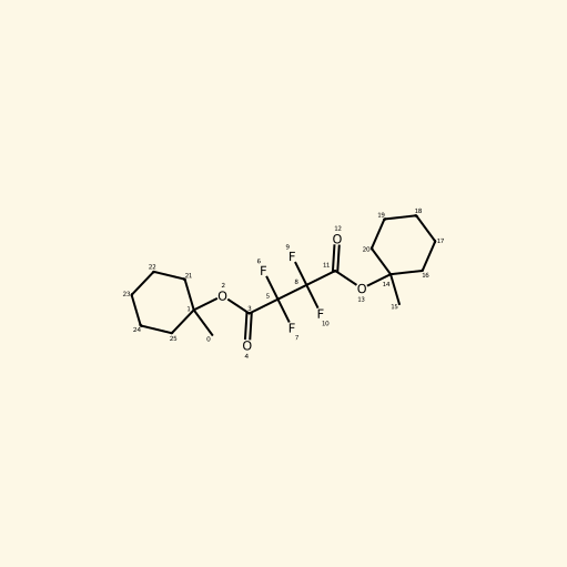 CC1(OC(=O)C(F)(F)C(F)(F)C(=O)OC2(C)CCCCC2)CCCCC1